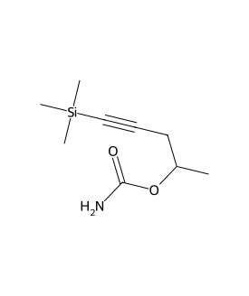 CC(CC#C[Si](C)(C)C)OC(N)=O